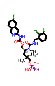 CN(C(=O)NCc1cccc(F)c1Cl)[C@H](COC(=O)Nc1cc2cc(F)ccc2cn1)CC(C)(C)COP(O)(O)=P